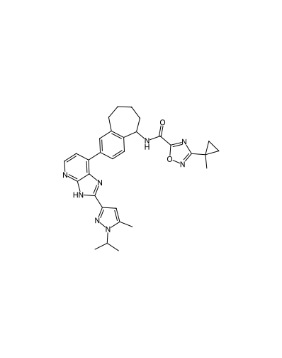 Cc1cc(-c2nc3c(-c4ccc5c(c4)CCCCC5NC(=O)c4nc(C5(C)CC5)no4)ccnc3[nH]2)nn1C(C)C